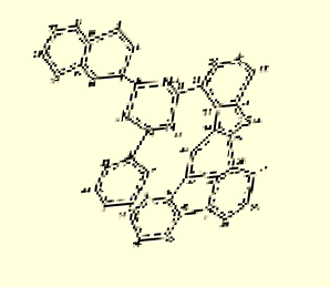 c1ccc(-c2nc(-c3ccc4ccccc4c3)nc(-c3cccc4sc5c6cccc7c6c(cc5c34)-c3ccccc3-7)n2)cc1